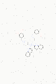 CCOc1cc(CN2CCC(N(c3cc(C)c4ccccc4n3)N(c3cc(C)c4ccccc4n3)C3CCN(Cc4ccc(OC)c(OCC)c4)CC3)CC2)ccc1Cl